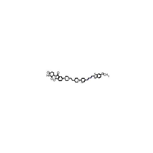 COc1ccc2nc(/C=C/C=C/c3ccc(N4CCC(CCN5CCN(c6ccc7c(c6)C(=O)N(C6CCC(=O)NC6=O)C7=O)CC5)CC4)nc3)sc2c1